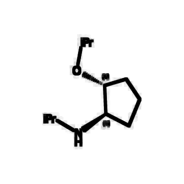 CC(C)N[C@@H]1CCC[C@H]1OC(C)C